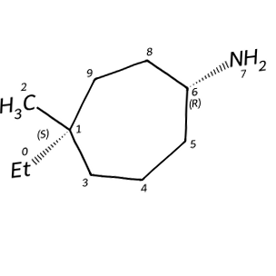 CC[C@@]1(C)CCC[C@@H](N)CC1